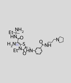 CCN1C(=O)[C@@H](CNc2cccc(C(=O)NCCCN3CCCC3)c2)S/C1=C(/N)C(=O)NC(C)(N)CC